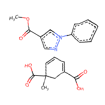 CC1(C(=O)O)C=CC=C(C(=O)O)C1.COC(=O)c1cnn(-c2ccccc2)c1